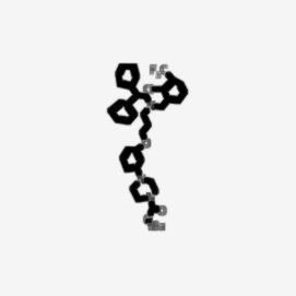 CC(C)(C)OC(=O)N1CCN(c2cccc(OCCCN(Cc3cccc(C(F)(F)F)c3Cl)CC(c3ccccc3)c3ccccc3)c2)CC1